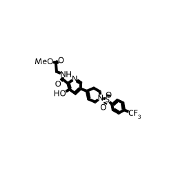 COC(=O)CNC(=O)c1ncc(C2=CCN(S(=O)(=O)c3ccc(C(F)(F)F)cc3)CC2)cc1O